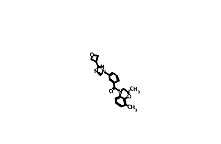 Cc1cccc2c1O[C@@H](C)CN2C(=O)c1cccc(-n2cnc(C3COC3)n2)c1